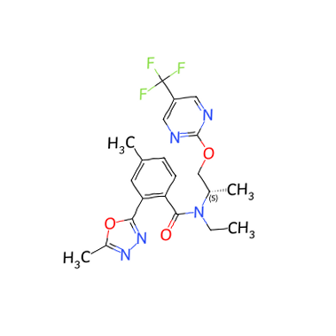 CCN(C(=O)c1ccc(C)cc1-c1nnc(C)o1)[C@@H](C)COc1ncc(C(F)(F)F)cn1